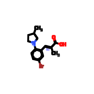 C/C(=C\c1cc(Br)ccc1N1CCC(C)C1)C(=O)O